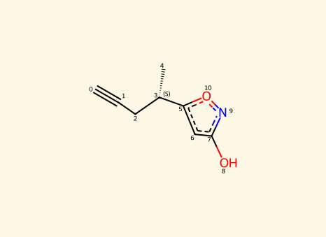 C#CC[C@H](C)c1cc(O)no1